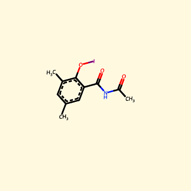 CC(=O)NC(=O)c1cc(C)cc(C)c1OI